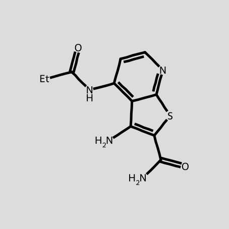 CCC(=O)Nc1ccnc2sc(C(N)=O)c(N)c12